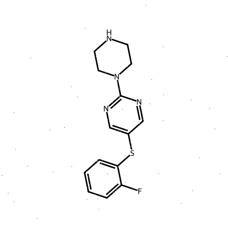 Fc1ccccc1Sc1cnc(N2CCNCC2)nc1